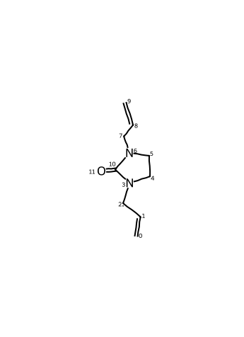 C=C[CH]N1CCN(CC=C)C1=O